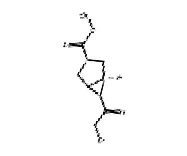 CC(C)(C)OC(=O)N1CC2C(C(=O)CBr)[C@@H]2C1